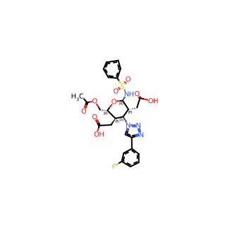 CC(=O)OC[C@@H]1O[C@@H](NS(=O)(=O)c2ccccc2)[C@H](CC(=O)O)[C@@H](n2cc(-c3cccc(F)c3)nn2)[C@H]1CC(=O)O